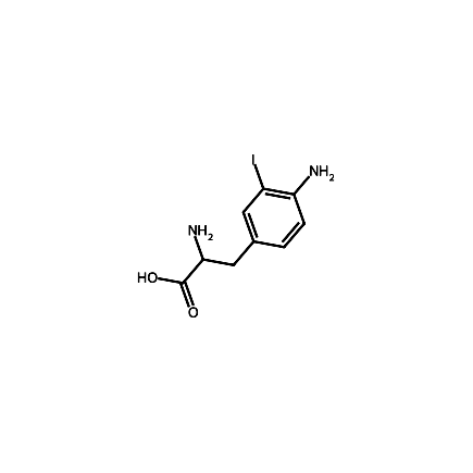 Nc1ccc(CC(N)C(=O)O)cc1I